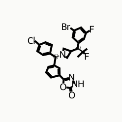 CC(C)(F)[C@H](c1cc(F)cc(Br)c1)C1CN([C@@H](c2ccc(Cl)cc2)c2cccc(-c3n[nH]c(=O)o3)c2)C1